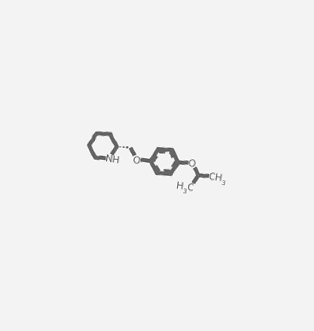 CC(C)Oc1ccc(OC[C@H]2CCCCN2)cc1